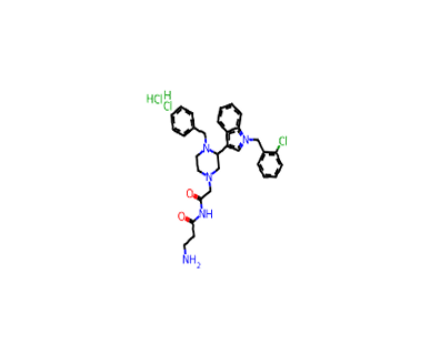 Cl.Cl.NCCC(=O)NC(=O)CN1CCN(Cc2ccccc2)C(c2cn(Cc3ccccc3Cl)c3ccccc23)C1